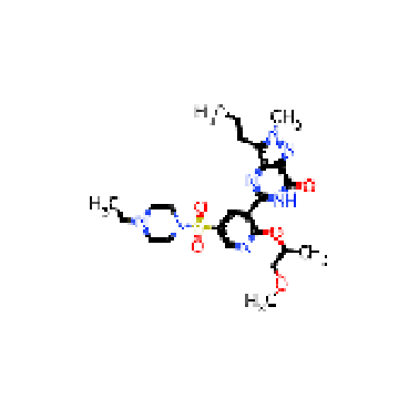 CCCc1c2nc(-c3cc(S(=O)(=O)N4CCN(CC)CC4)cnc3OC(C)COC)[nH]c(=O)c2nn1C